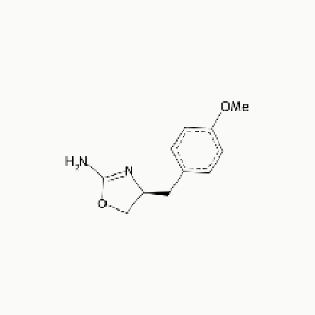 COc1ccc(C[C@H]2COC(N)=N2)cc1